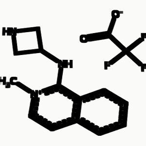 C[n+]1ccc2ccccc2c1NC1CNC1.O=C([O-])C(F)(F)F